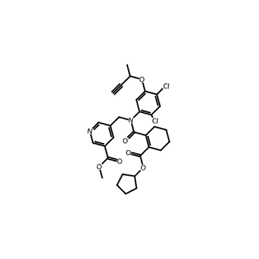 C#CC(C)Oc1cc(N(Cc2cncc(C(=O)OC)c2)C(=O)C2=C(C(=O)OC3CCCC3)CCCC2)c(Cl)cc1Cl